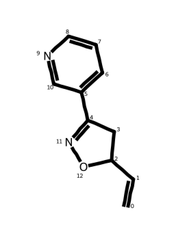 C=CC1CC(c2cccnc2)=NO1